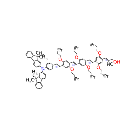 [C-]#[N+]/C(=C\c1cc(OCCC(C)C)c(/C=C/c2cc(OCCC(C)C)c(/C=C/c3cc(OCCC(C)C)c(/C=C/c4ccc(N(c5ccc6c(c5)C(C)(C)c5ccccc5-6)c5ccc6c(c5)C(C)(C)c5ccccc5-6)cc4)cc3OCCC(C)C)cc2OCCC(C)C)cc1OCCC(C)C)CO